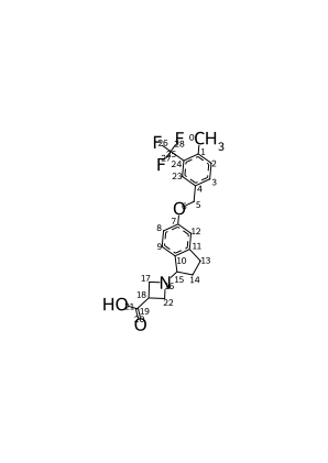 Cc1ccc(COc2ccc3c(c2)CCC3N2CC(C(=O)O)C2)cc1C(F)(F)F